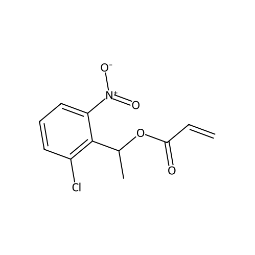 C=CC(=O)OC(C)c1c(Cl)cccc1[N+](=O)[O-]